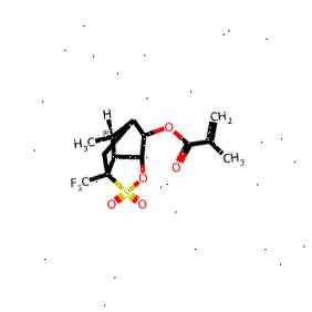 C=C(C)C(=O)OC1C2OS(=O)(=O)C3(C(F)(F)F)CC1[C@@H](C)C23